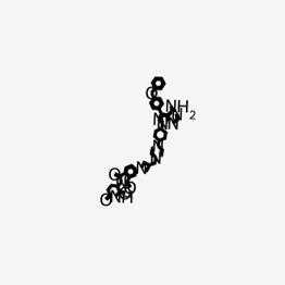 Nc1ncnc2c1c(-c1ccc(Oc3ccccc3)cc1)nn2C1CCC(N2CCN(CC3CN(c4ccc5c(c4)C(=O)N(C4CCC(=O)NC4=O)C5=O)C3)CC2)CC1